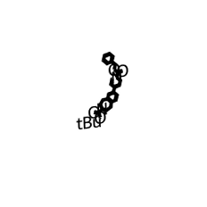 CC(C)(C)OC(=O)N1CCc2ccc(C3=CCN(C(=O)OCc4ccccc4)CC3)cc2CC1